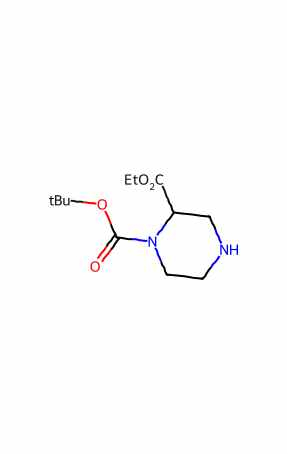 CCOC(=O)C1CNCCN1C(=O)OC(C)(C)C